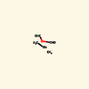 C.CC(C)(C)C.O=COC=O